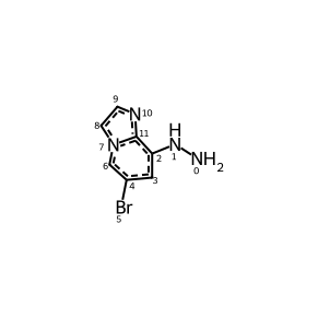 NNc1cc(Br)cn2ccnc12